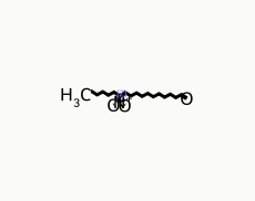 CCCCCC/C(=C/CCCCCCCCCC=O)[N+](=O)[O-]